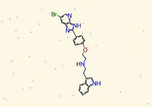 Brc1cnc2[nH]c(-c3ccc(OCCNCCc4c[nH]c5ccccc45)cc3)nc2c1